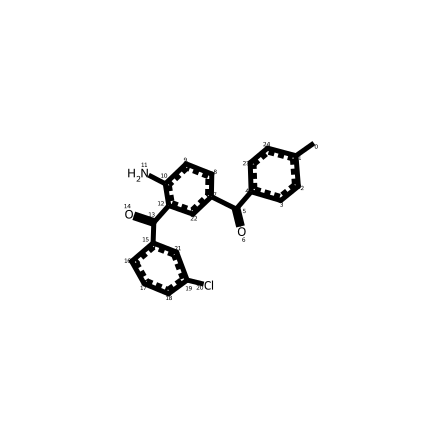 Cc1ccc(C(=O)c2ccc(N)c(C(=O)c3cccc(Cl)c3)c2)cc1